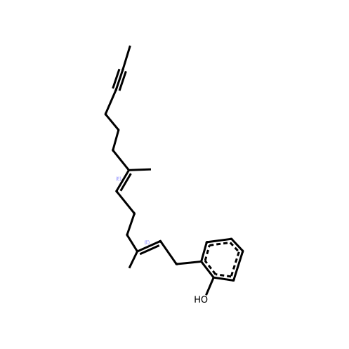 CC#CCCC/C(C)=C/CC/C(C)=C/Cc1ccccc1O